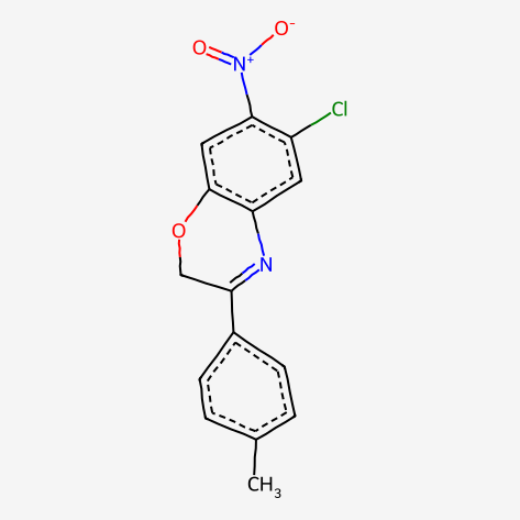 Cc1ccc(C2=Nc3cc(Cl)c([N+](=O)[O-])cc3OC2)cc1